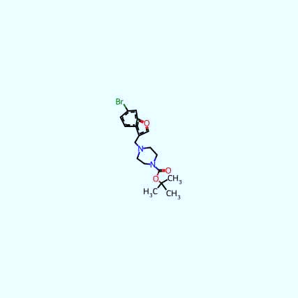 CC(C)(C)OC(=O)N1CCN(Cc2coc3cc(Br)ccc23)CC1